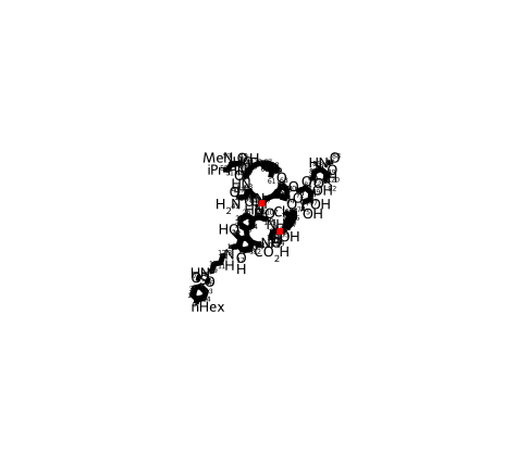 CCCCCCc1ccc(S(=O)(=O)NCCCCNCc2c(O)cc3c(c2C)-c2cc(ccc2O)[C@H]2NC(=O)[C@@H]4NC(=O)[C@H](CC(N)=O)NC(=O)[C@H](NC(=O)[C@@H](CC(C)C)NC)[C@H](O)c5ccc(c(C)c5)Oc5cc4cc(c5O[C@@H]4O[C@H](CO)[C@@H](O)[C@H](O)[C@H]4O[C@H]4C[C@]5(C)NC(=O)O[C@@H]5[C@H](C)O4)Oc4ccc(cc4Cl)[C@@H](O)[C@H](NC2=O)C(=O)N[C@@H]3C(=O)O)cc1